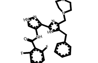 O=C(Nc1c[nH]nc1-c1nc(CN2CCOCC2)c(Cc2ccccc2)[nH]1)c1c(F)cccc1F